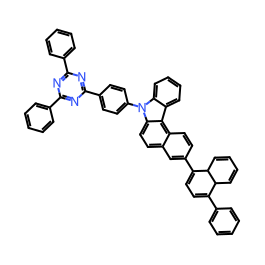 C1=CC2C(c3ccccc3)=CC=C(c3ccc4c(ccc5c4c4ccccc4n5-c4ccc(-c5nc(-c6ccccc6)nc(-c6ccccc6)n5)cc4)c3)C2C=C1